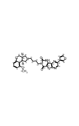 COc1cccc2c1[C@@H]1CN(CCCCn3c(=O)[nH]c4c(sc5ncc(-c6ccoc6)nc54)c3=O)C[C@@H]1CO2